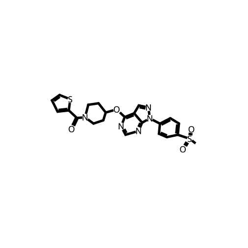 CS(=O)(=O)c1ccc(-n2ncc3c(OC4CCN(C(=O)c5cccs5)CC4)ncnc32)cc1